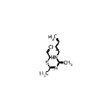 C=CCCNC(=C)/N=C(/C)SCC=C